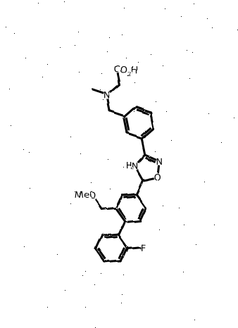 COCc1cc(C2NC(c3cccc(CN(C)CC(=O)O)c3)=NO2)ccc1-c1ccccc1F